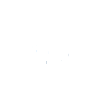 CC/C(=C\CC1CC=C(C)C1(C)C)C(C)O